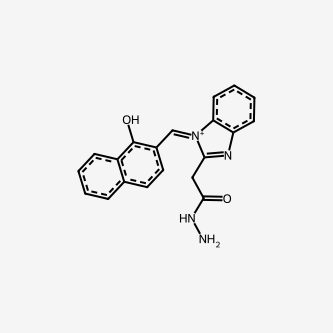 NNC(=O)CC1=Nc2ccccc2[N+]1=Cc1ccc2ccccc2c1O